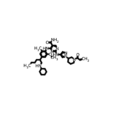 C=CC(=O)N1CCCC(n2cc(Nc3ncc(C(N)=O)c(Nc4c(C)cc(C(CCCC)CNC5CCCCC5)cc4OC)n3)cn2)C1